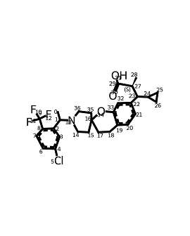 CC(c1cc(Cl)ccc1C(F)(F)F)N1CCC2(CCc3ccc(C(C4CC4)[C@H](C)C(=O)O)cc3O2)CC1